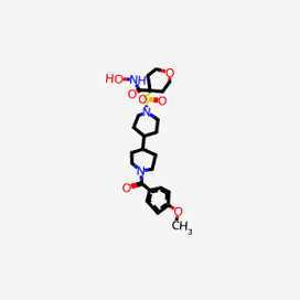 COc1ccc(C(=O)N2CCC(C3CCN(S(=O)(=O)C4(C(=O)NO)CCOCC4)CC3)CC2)cc1